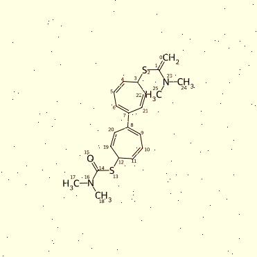 C=C(SC1C=CC=C(C2=CC=CC(SC(=O)N(C)C)C=C2)C=C1)N(C)C